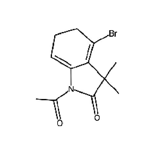 CC(=O)N1C(=O)C(C)(C)C2=C(Br)CCC=C21